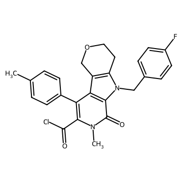 Cc1ccc(-c2c(C(=O)Cl)n(C)c(=O)c3c2c2c(n3Cc3ccc(F)cc3)CCOC2)cc1